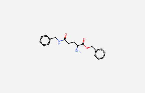 N[C@@H](CCC(=O)NCc1ccccc1)C(=O)OCc1ccccc1